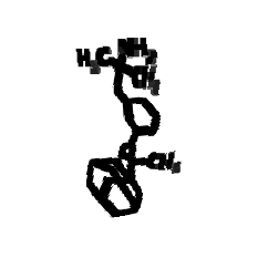 CC(Oc1cccc(CC(C)(C)N)c1)C12CC3CC(CC(C3)C1)C2